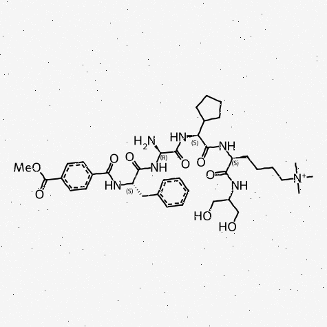 COC(=O)c1ccc(C(=O)N[C@@H](Cc2ccccc2)C(=O)N[C@@H](N)C(=O)N[C@H](C(=O)N[C@@H](CCCC[N+](C)(C)C)C(=O)NC(CO)CO)C2CCCC2)cc1